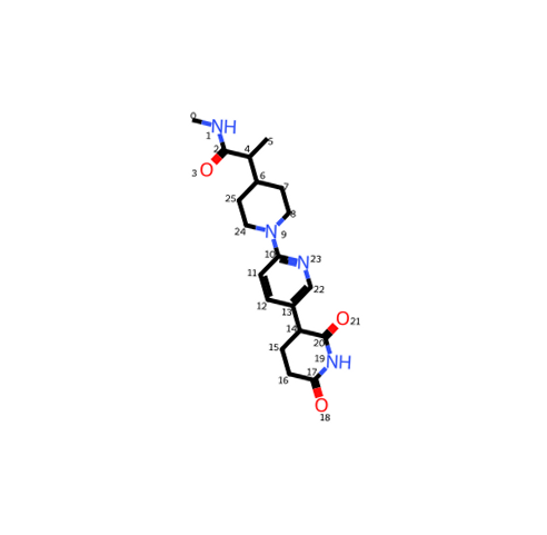 CNC(=O)C(C)C1CCN(c2ccc(C3CCC(=O)NC3=O)cn2)CC1